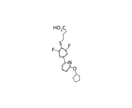 O=C(O)CCCSc1c(F)cc(-c2cccc(OC3CCCC3)n2)cc1F